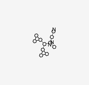 c1ccc(-c2nc(-c3ccc(-c4ccncc4)cc3)cc(-c3cc(-c4ccc5c6ccccc6c6ccccc6c5c4)cc(-c4ccc5c6ccccc6c6ccccc6c5c4)c3)n2)cc1